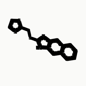 c1ccc2cc3[nH]c(SCc4nccs4)nc3cc2c1